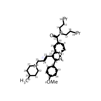 COc1ccc(-c2nn3ccc(C(=O)N(CCC(C)C)CCC(C)C)cc3c2/C=C/CN2CCC(C)CC2)cc1